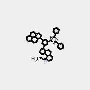 C=C/C=C1/C=CC=C2C=Cc3c(-c4cc(-c5nc(-c6ccccc6)nc(-c6ccccc6)n5)cc(-c5ccc6ccc7cccc8ccc5c6c78)c4)cccc3C21